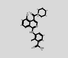 Cc1c(Nc2ncc(C(=O)N3CCCCC3)c3c(Cl)cccc23)cccc1C(=O)O